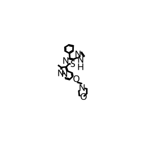 Cc1nn2ccc(OCCN3CCOCC3)cc2c1-c1nc(-c2ccccc2)c(-c2ncc[nH]2)s1